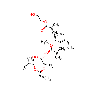 C=C(C)C(=O)OC.C=C(C)C(=O)OCCO.C=CC(=O)O.C=CC(=O)OCC(C)C.C=Cc1ccccc1